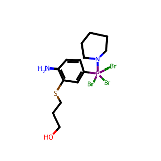 Nc1ccc(P(Br)(Br)(Br)N2CCCCC2)cc1SCCCO